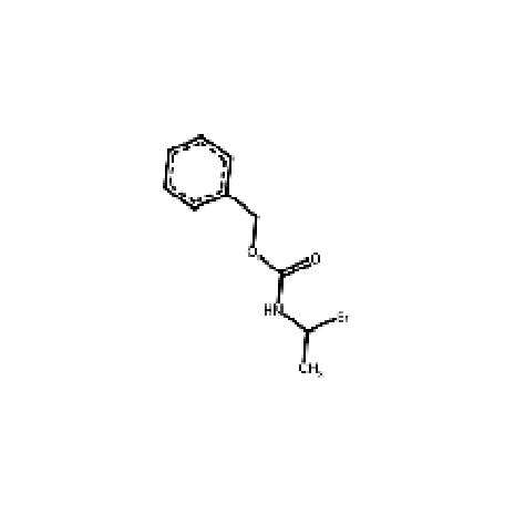 CC(Br)NC(=O)OCc1ccccc1